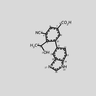 CC(O)c1c(C#N)cc(C(=O)O)cc1-c1ccc2[nH]cnc2c1